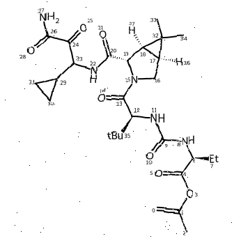 C=C(C)OC(=O)[C@H](CC)NC(=O)N[C@H](C(=O)N1C[C@H]2[C@@H]([C@H]1C(=O)NC(C(=O)C(N)=O)C1CC1)C2(C)C)C(C)(C)C